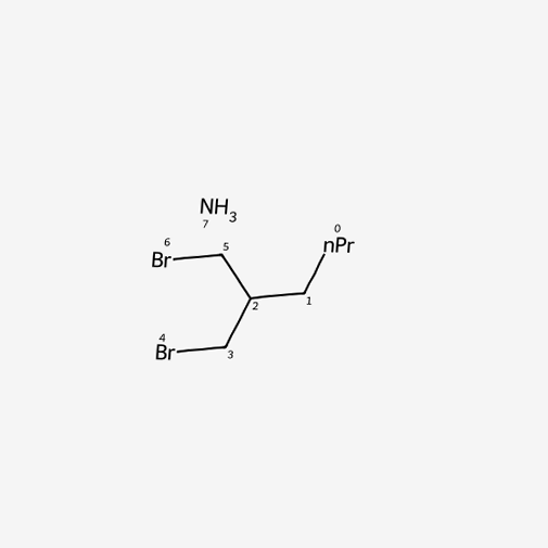 CCCCC(CBr)CBr.N